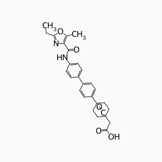 CCc1nc(C(=O)Nc2ccc(-c3ccc(C45CCC(CC(=O)O)(CC4)CO5)cc3)cc2)c(C)o1